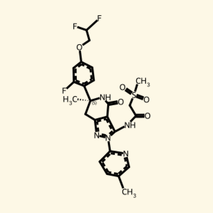 Cc1ccc(-n2nc3c(c2NC(=O)CS(C)(=O)=O)C(=O)N[C@](C)(c2ccc(OCC(F)F)cc2F)C3)nc1